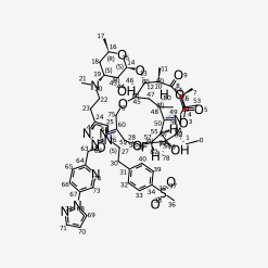 CC[C@H]1OC(=O)[C@H](C)C(=O)[C@H](C)[C@@H](O[C@@H]2O[C@H](C)C[C@H](N(C)CCc3cn([C@H](CF)Cc4ccc(S(C)(=O)=O)cc4)nn3)[C@H]2O)[C@@]2(C)C[C@@H](C)/C(=N\C(C)=O)[C@H](C)[C@@H](OC/C(=N\OCc3ccc(-n4cccn4)cn3)CO2)[C@]1(C)O